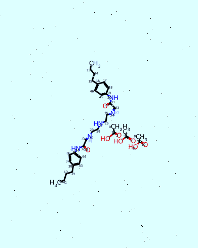 CC(=O)O.CC(=O)O.CC(=O)O.CCCCc1ccc(NC(=O)/C=N\CCNCC/N=C/C(=O)Nc2ccc(CCCC)cc2)cc1